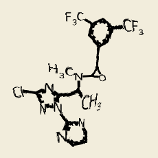 CC(c1nc(Cl)nn1-c1ncccn1)N(C)C1OC1c1cc(C(F)(F)F)cc(C(F)(F)F)c1